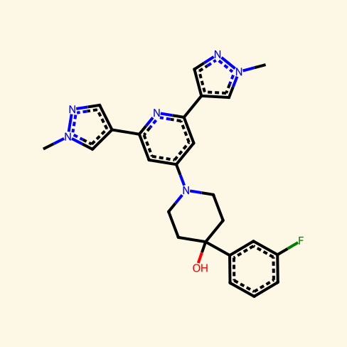 Cn1cc(-c2cc(N3CCC(O)(c4cccc(F)c4)CC3)cc(-c3cnn(C)c3)n2)cn1